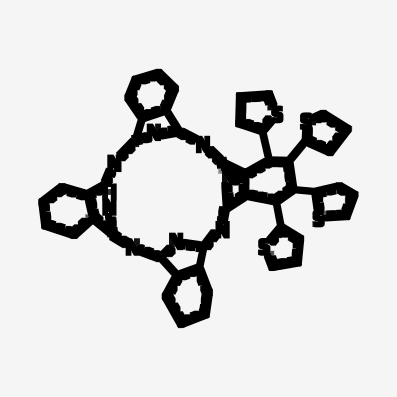 c1csc(-c2c(-c3cccs3)c(-c3cccs3)c3c4nc5nc(nc6[nH]c(nc7nc(nc([nH]4)c3c2-c2cccs2)-c2ccccc2-7)c2ccccc62)-c2ccccc2-5)c1